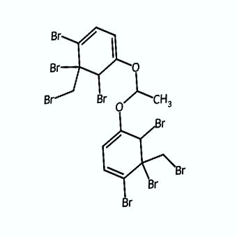 CC(OC1=CC=C(Br)C(Br)(CBr)C1Br)OC1=CC=C(Br)C(Br)(CBr)C1Br